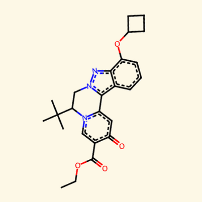 CCOC(=O)c1cn2c(cc1=O)-c1c3cccc(OC4CCC4)c3nn1CC2C(C)(C)C